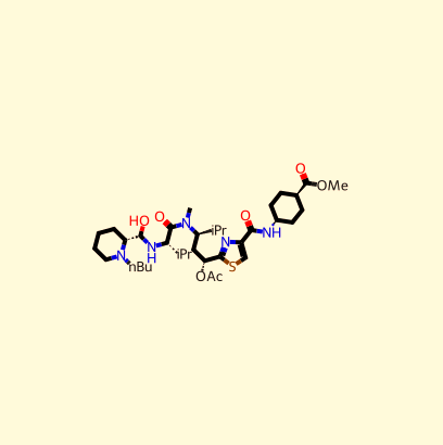 CCCCN1CCCC[C@@H]1C(O)N[C@H](C(=O)N(C)[C@H](C[C@@H](OC(C)=O)c1nc(C(=O)N[C@H]2CC[C@H](C(=O)OC)CC2)cs1)C(C)C)C(C)C